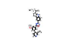 CCC(C(=O)O)C1CCC2=c3cc(-c4noc(-c5cc(OC(F)(F)F)cc(-c6ccncc6C)c5)n4)ccc3=NC21